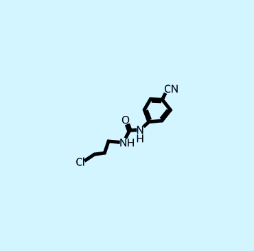 N#Cc1ccc(NC(=O)NCCCCl)cc1